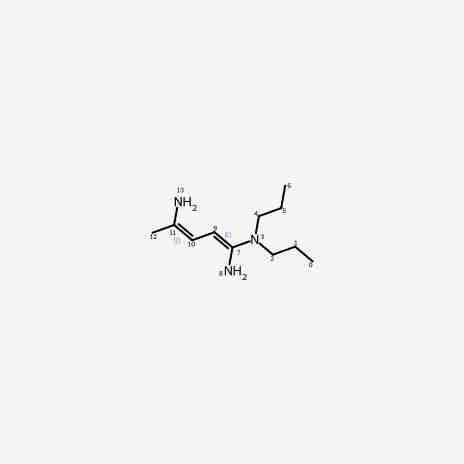 CCCN(CCC)/C(N)=C/C=C(/C)N